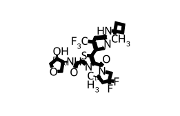 C[C@H]1CC(F)(F)CN1C(=O)c1nc(C(=O)N[C@H]2COC[C@H]2O)sc1-c1cnc(NC2(C)CCC2)cc1C(F)(F)F